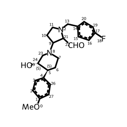 COc1ccc([C@@H]2CCN(C3CCN(Cc4ccc(F)cc4)C3C=O)C[C@H]2O)cc1